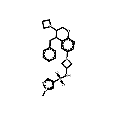 Cn1cc(S(=O)(=O)NC2CN(c3ccc4c(c3)C(Cc3ccccc3)C(N3CCC3)CO4)C2)cn1